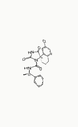 C[C@@H](NC(=O)N1C(=O)NC(=O)[C@]12CCCc1ncc(Cl)cc12)c1ccccc1